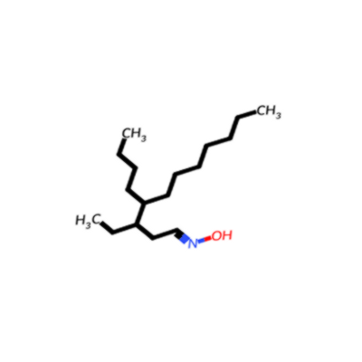 CCCCCCCC(CCCC)C(CC)C/C=N/O